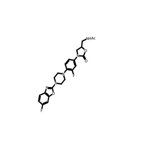 CC(=O)NCC1CN(c2ccc(N3CCN(c4nc5ccc(F)cc5o4)CC3)c(F)c2)C(=O)O1